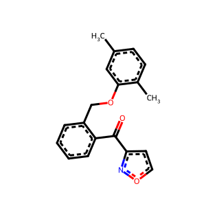 Cc1ccc(C)c(OCc2ccccc2C(=O)c2ccon2)c1